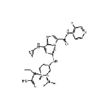 CCN(C(=O)O)[C@]1(C)CCC(Nc2cc(NC3CC3)c3ncc(C(=O)Nc4ccncc4F)n3n2)C[C@H]1N(C)C